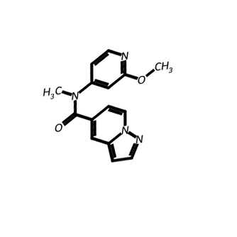 COc1cc(N(C)C(=O)c2ccn3nccc3c2)ccn1